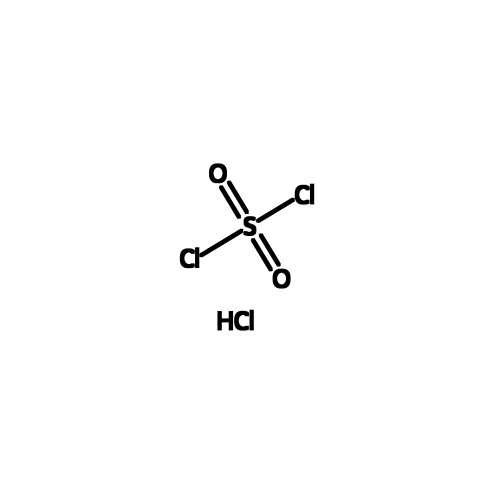 Cl.O=S(=O)(Cl)Cl